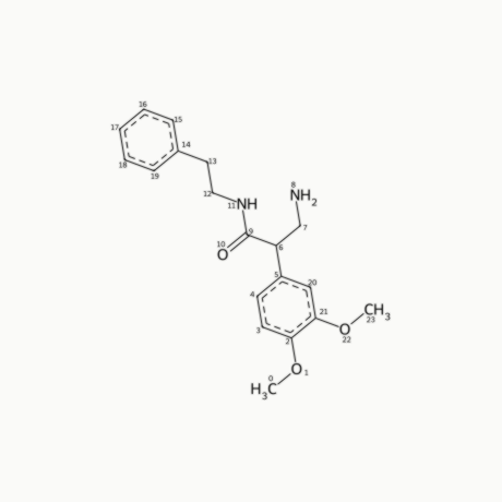 COc1ccc(C(CN)C(=O)NCCc2ccccc2)cc1OC